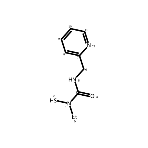 CCN(S)C(=O)NCc1ccccn1